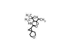 CCC(=O)[C@@H](NC(=O)C1CC12CCOCC2)C(C)(C)C